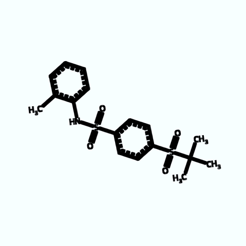 Cc1ccccc1NS(=O)(=O)c1ccc(S(=O)(=O)C(C)(C)C)cc1